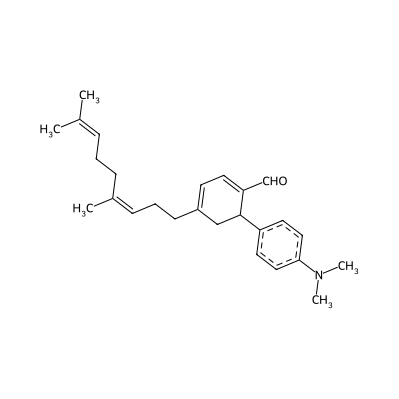 CC(C)=CCCC(C)=CCCC1=CC=C(C=O)C(c2ccc(N(C)C)cc2)C1